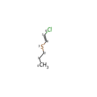 CCCSC=CCl